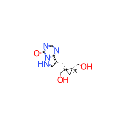 O=c1ncnc2c(C[C@@]3(CO)C[C@H]3CO)c[nH]n12